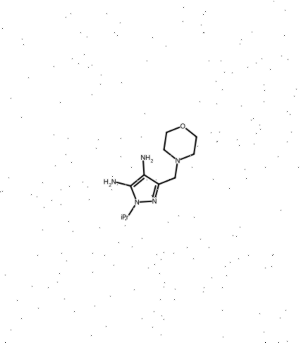 CC(C)n1nc(CN2CCOCC2)c(N)c1N